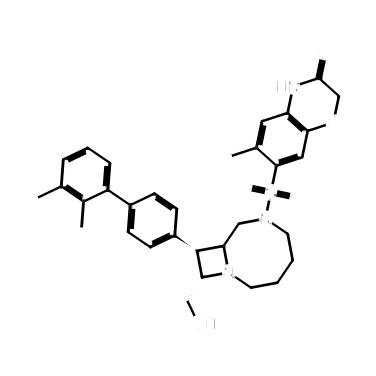 Cc1cc2c(cc1S(=O)(=O)N1CCCCN3C(C1)[C@H](c1ccc(-c4cccc(C)c4C)cc1)[C@H]3CO)OCC(=O)N2